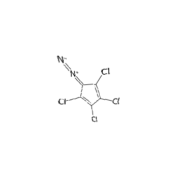 [N-]=[N+]=C1C(Cl)=C(Cl)C(Cl)=C1Cl